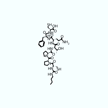 CCCCNC(=O)N[C@@H](CS)C(=O)N1CCC[C@H]1C(=O)N1CCC[C@H]1C(=O)N[C@H](C(=O)N[C@@H](CCC(N)=O)C(=O)N[C@@H](Cc1ccccc1)C(=O)N[C@@H](CS)C(=O)O)[C@@H](C)O